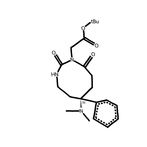 CN(C)[C@]1(c2ccccc2)CCNC(=O)N(CC(=O)OC(C)(C)C)C(=O)CC1